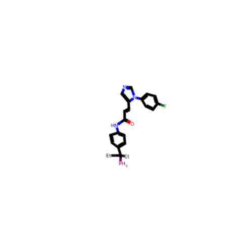 CCC(P)(CC)c1ccc(NC(=O)/C=C/c2cncn2-c2ccc(F)cc2)cc1